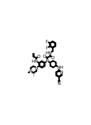 C=CC(=O)Nc1cc(N(C(=O)C(=O)NCc2cccc(F)c2F)C2CCC(Nc3ccc(C#N)cn3)CC2)ccc1N1CCN(C)[C@@H](C)C1